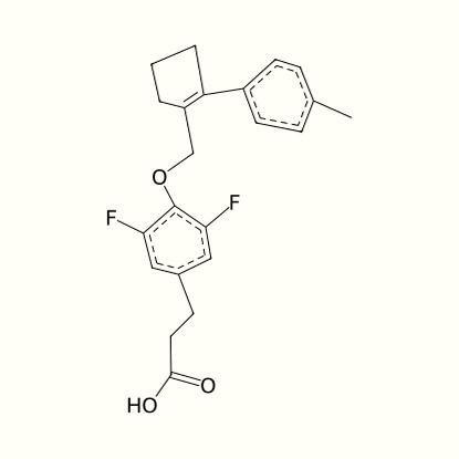 Cc1ccc(C2=C(COc3c(F)cc(CCC(=O)O)cc3F)CCC2)cc1